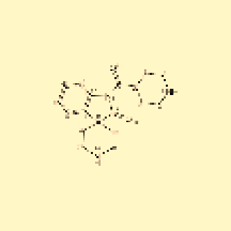 O=C(C1CCNCC1)N1C(=O)C2(CCNCC2)c2ccccc21